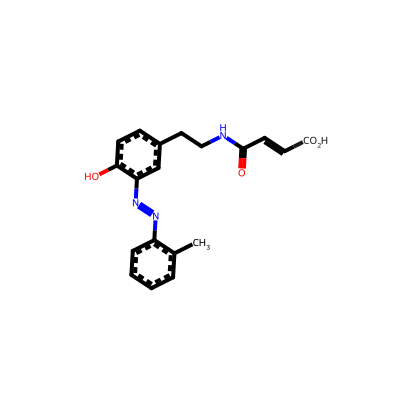 Cc1ccccc1N=Nc1cc(CCNC(=O)C=CC(=O)O)ccc1O